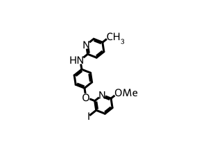 COc1ccc(I)c(Oc2ccc(Nc3ccc(C)cn3)cc2)n1